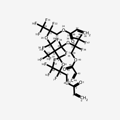 C=CC(=O)OCC(F)(OC(F)(F)C(C(F)(F)F)(C(F)(F)OC(F)(COC(=O)C=C)C(F)(F)F)C(F)(F)OC(F)(COC(=O)C=C)C(F)(F)F)C(F)(F)F